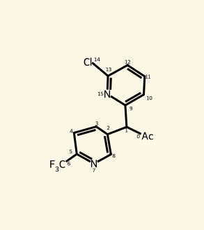 CC(=O)C(c1ccc(C(F)(F)F)nc1)c1cccc(Cl)n1